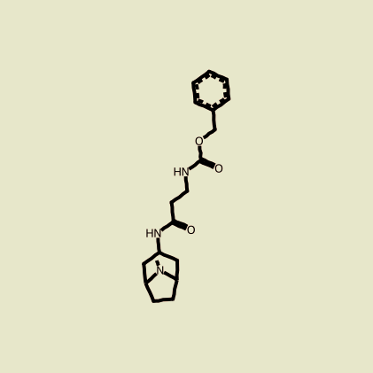 CN1C2CCC1CC(NC(=O)CCNC(=O)OCc1ccccc1)C2